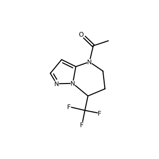 CC(=O)N1CCC(C(F)(F)F)n2nccc21